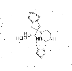 Cl.Cl.O=C(NCc1cccs1)C1(N2CCNCC2)Cc2ccccc2C1